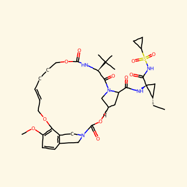 CC[C@H]1C[C@@]1(NC(=O)C1C[C@@H]2CN1C(=O)[C@H](C(C)(C)C)NC(=O)OCCC/C=C/COc1c(OC)ccc3c1CN(C3)C(=O)O2)C(=O)NS(=O)(=O)C1CC1